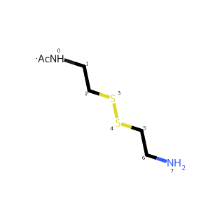 CC(=O)[N]CCSSCCN